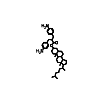 CC(C)CCCC(C)C1CCC2C3CC=C4CC(OC(=O)C(Cc5ccc(N)cc5)Cc5ccc(N)cc5)CCC4(C)C3CCC12C